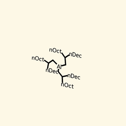 CCCCCCCCCCC(CCCCCCCC)[CH2][Al]([CH2]C(CCCCCCCC)CCCCCCCCCC)[CH2]C(CCCCCCCC)CCCCCCCCCC